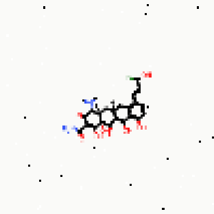 CN(C)[C@@H]1C(=O)C(C(N)=O)=C(O)[C@@]2(O)C(=O)C3=C(O)c4c(O)ccc(C=CC(O)Cl)c4C[C@H]3C[C@@H]12